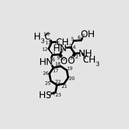 CNC(=O)[C@H](CCO)NC(=O)[C@H](CC(C)C)NC1CCCCC(CS)CC1